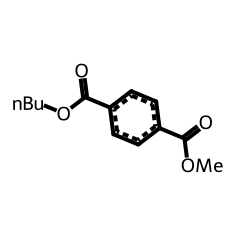 CCCCOC(=O)c1ccc(C(=O)OC)cc1